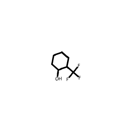 OC1CCCCC1C(F)(F)F